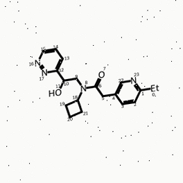 CCc1ccc(CC(=O)N(CC(O)c2cccnn2)C2CCC2)cn1